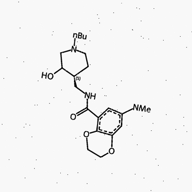 CCCCN1CC[C@@H](CNC(=O)c2cc(NC)cc3c2OCCO3)C(O)C1